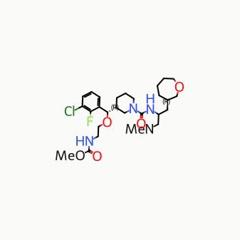 CNCC(C[C@H]1CCCCOC1)NC(=O)N1CCC[C@@H](C(OCCNC(=O)OC)c2cccc(Cl)c2F)C1